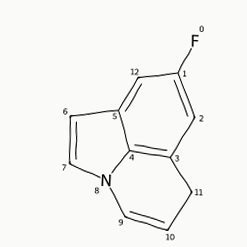 Fc1cc2c3c(ccn3C=CC2)c1